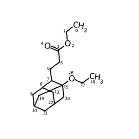 CCOC(=O)CCC1C2CC3CC(C2)CC1(OCC)C3